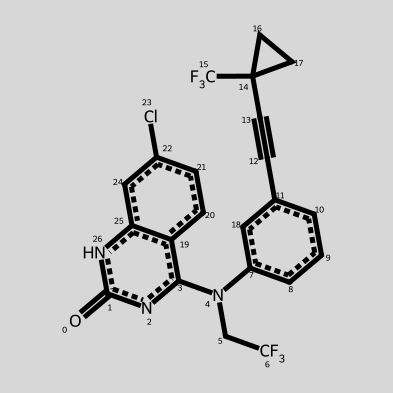 O=c1nc(N(CC(F)(F)F)c2cccc(C#CC3(C(F)(F)F)CC3)c2)c2ccc(Cl)cc2[nH]1